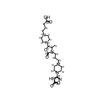 CC1C(N2CCN(CCCC(=O)O)CC2)OC(=O)N1CCCN1CCN(c2noc(=O)[nH]2)CC1